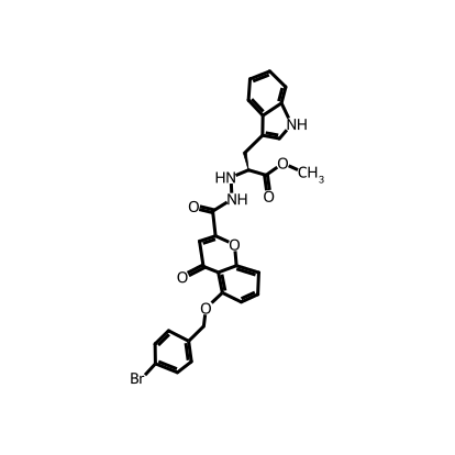 COC(=O)[C@H](Cc1c[nH]c2ccccc12)NNC(=O)c1cc(=O)c2c(OCc3ccc(Br)cc3)cccc2o1